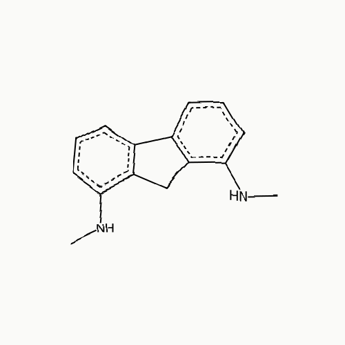 CNc1cccc2c1Cc1c(NC)cccc1-2